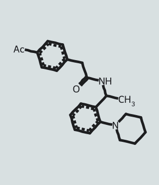 CC(=O)c1ccc(CC(=O)NC(C)c2ccccc2N2CCCCC2)cc1